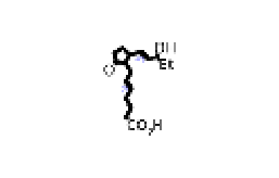 CCC(O)/C=C/C1CCC(=O)C1C/C=C/CCCC(=O)O